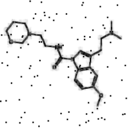 COc1ccc2c(c1)c(CCN(C)C)cn2C(=O)NCCN1CCCOC1